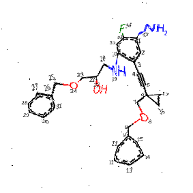 Nc1cc(C#CC2(COCc3ccccc3)CC2)c(NC[C@@H](O)COCc2ccccc2)cc1F